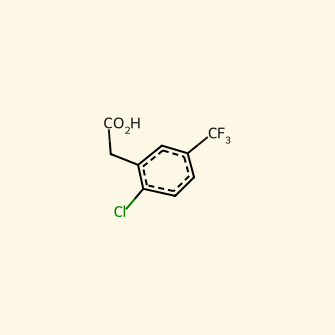 O=C(O)Cc1cc(C(F)(F)F)ccc1Cl